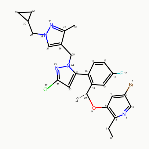 CCc1ncc(Br)cc1O[C@H](C)c1cc(F)ccc1-c1cc(Cl)nn1Cc1cn(CC2CC2)nc1C